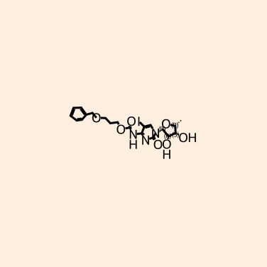 C[C@H]1O[C@@H](n2cc(I)c(NC(=O)OCCCOCc3ccccc3)nc2=O)[C@H](O)[C@@H]1O